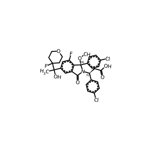 CO[C@]1(c2ccc(Cl)cc2)c2c(F)cc(C(C)(O)C3(F)CCOCC3)cc2C(=O)N1[C@@H](CC(=O)O)c1ccc(Cl)cc1